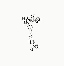 C[C@@H](NC(=O)c1cccs1)C(=O)N1CCN(CCCOc2ccc(C(=O)C3CC3)cc2)CC1